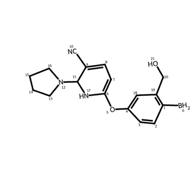 Bc1ccc(OC2=CC=C(C#N)C(N3CCCC3)N2)cc1CO